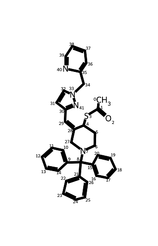 CC(=O)SC1CCN(C(c2ccccc2)(c2ccccc2)c2ccccc2)CC1=Cc1ccn(Cc2ccccn2)n1